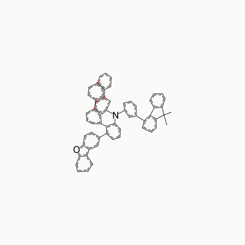 CC1(C)c2ccccc2-c2c(-c3cccc(N(c4cccc(-c5ccccc5)c4)c4cccc(-c5ccc6oc7ccccc7c6c5)c4-c4cccc(-c5ccccc5)c4)c3)cccc21